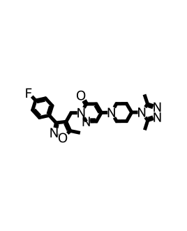 Cc1onc(-c2ccc(F)cc2)c1Cn1ncc(N2CCC(n3c(C)nnc3C)CC2)cc1=O